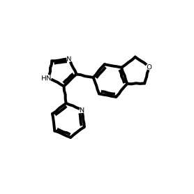 c1ccc(-c2[nH]cnc2-c2ccc3c(c2)COC3)nc1